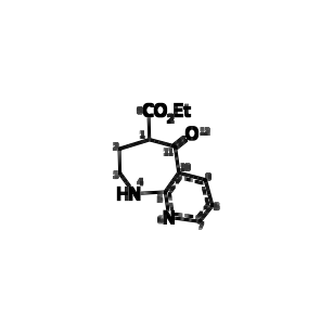 CCOC(=O)C1CCNc2ncccc2C1=O